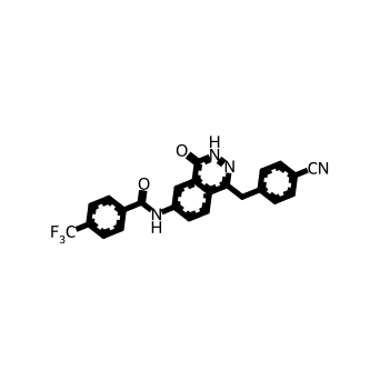 N#Cc1ccc(Cc2n[nH]c(=O)c3cc(NC(=O)c4ccc(C(F)(F)F)cc4)ccc23)cc1